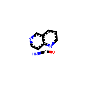 N=C=O.c1cnc2ccncc2c1